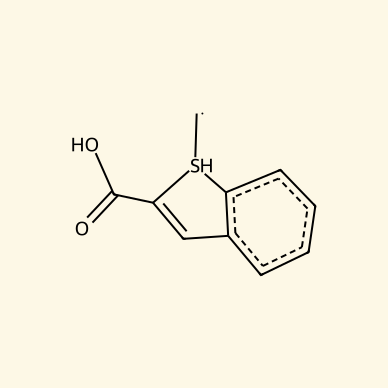 [CH2][SH]1C(C(=O)O)=Cc2ccccc21